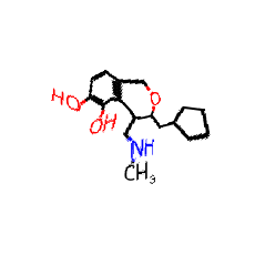 CNCC1c2c(ccc(O)c2O)COC1CC1CCCC1